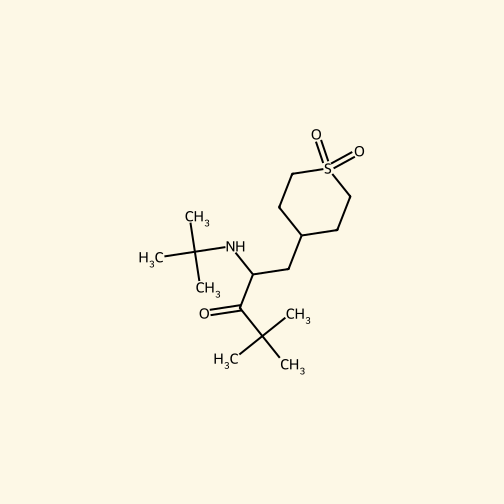 CC(C)(C)NC(CC1CCS(=O)(=O)CC1)C(=O)C(C)(C)C